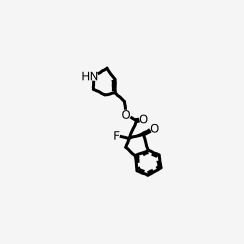 O=C(OCC1=CCNCC1)C1(F)Cc2ccccc2C1=O